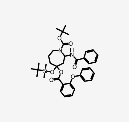 CC(C)(C)OC(=O)N1CCCC(OC(=O)c2ccccc2Oc2ccccc2)(O[Si](C)(C)C(C)(C)C)CC1NC(=O)c1ccccc1